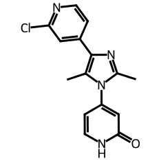 Cc1nc(-c2ccnc(Cl)c2)c(C)n1-c1cc[nH]c(=O)c1